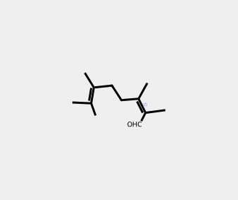 CC(C)=C(C)CC/C(C)=C(/C)C=O